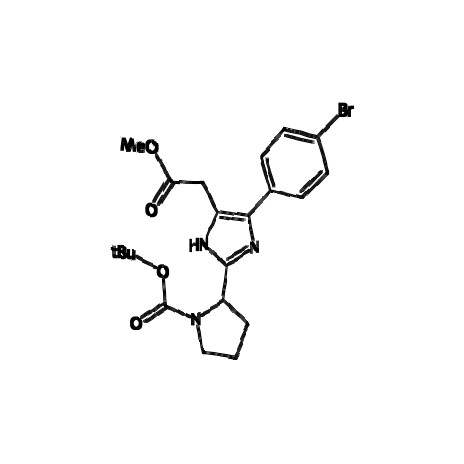 COC(=O)Cc1[nH]c(C2CCCN2C(=O)OC(C)(C)C)nc1-c1ccc(Br)cc1